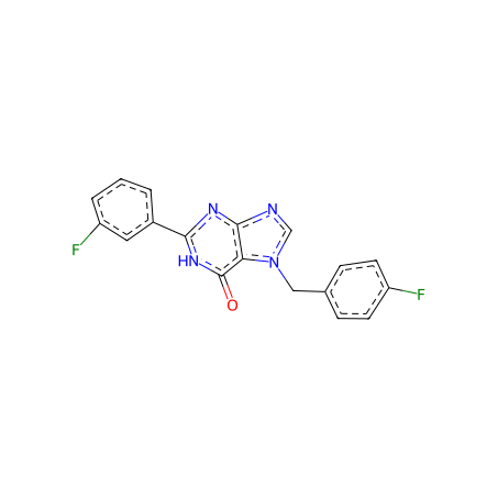 O=c1[nH]c(-c2cccc(F)c2)nc2ncn(Cc3ccc(F)cc3)c12